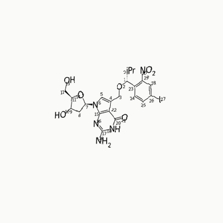 CC(C)[C@@H](OCc1cn([C@H]2CC(O)[C@@H](CO)O2)c2nc(N)[nH]c(=O)c12)c1ccc(I)cc1[N+](=O)[O-]